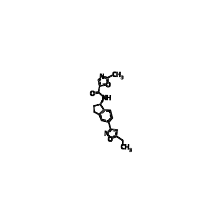 CCc1cc(-c2ccc3c(c2)CC[C@H]3NC(=O)c2cnc(C)o2)no1